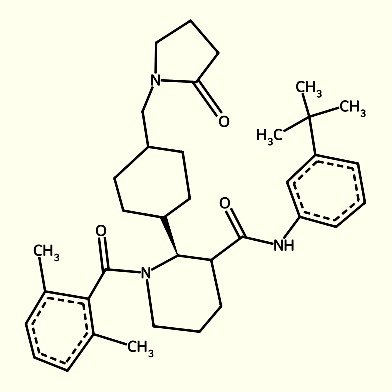 Cc1cccc(C)c1C(=O)N1CCCC(C(=O)Nc2cccc(C(C)(C)C)c2)[C@@H]1C1CCC(CN2CCCC2=O)CC1